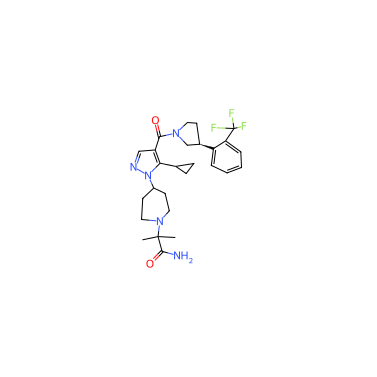 CC(C)(C(N)=O)N1CCC(n2ncc(C(=O)N3CC[C@@H](c4ccccc4C(F)(F)F)C3)c2C2CC2)CC1